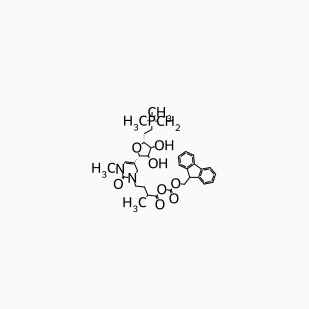 C=P(C)(C)CC[C@H]1O[C@@H](C2=CN(C)C(=O)N(CCC(C)C(=O)OC(=O)OCC3c4ccccc4-c4ccccc43)C2)[C@H](O)[C@@H]1O